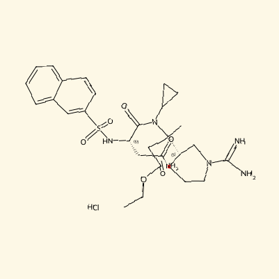 CCOC(=O)CC(C)([C@H]1CCCN(C(=N)N)C1)N(C(=O)[C@H](CC(N)=O)NS(=O)(=O)c1ccc2ccccc2c1)C1CC1.Cl